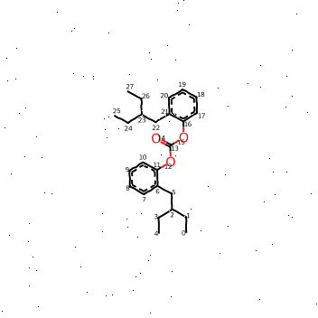 CCC(CC)Cc1ccccc1OC(=O)Oc1ccccc1CC(CC)CC